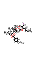 C=C[C@@H]1OC(c2ccc(OC)cc2)O[C@]1(C)CCC(CC(=O)O[C@H](/C(C)=C/I)[C@@H](C)C=C)O[Si](C)(C)C(C)(C)C